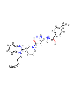 COCCCn1c([C@@H]2CCCN(C(=O)C[C@H](N)CNC(=O)c3ccc(OC)cc3)C2)nc2ccccc21